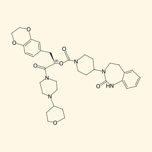 O=C(O[C@H](Cc1ccc2c(c1)OCCO2)C(=O)N1CCN(C2CCOCC2)CC1)N1CCC(N2CCc3ccccc3NC2=O)CC1